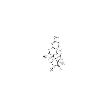 COc1ccc2c(c1)C[C@@H](C)[C@@H]1[C@@H]2CC[C@]2(C)C(=O)[C@@H](C)C[C@H]12